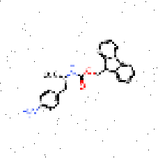 Nc1ccc(C[C@H](NC(=O)OCC2c3ccccc3-c3ccccc32)C(=O)O)cc1